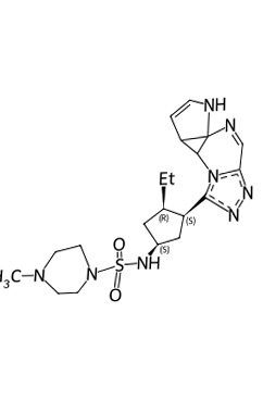 CC[C@@H]1C[C@H](NS(=O)(=O)N2CCN(C)CC2)C[C@@H]1c1nnc2n1C1C3C=CNC31N=C2